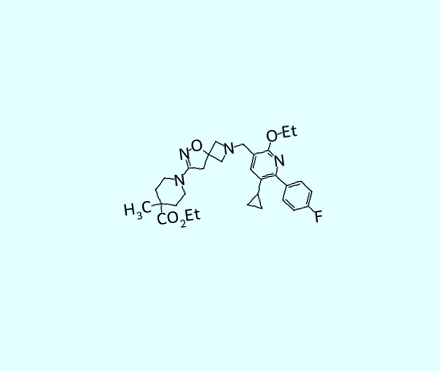 CCOC(=O)C1(C)CCN(C2=NOC3(C2)CN(Cc2cc(C4CC4)c(-c4ccc(F)cc4)nc2OCC)C3)CC1